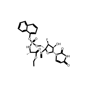 C=N[C@]1(COP(=O)(N[C@@H](C)C(=O)OCC)Oc2cccc3ccccc23)O[C@@H](n2ccc(=O)[nH]c2=O)[C@H](O)[C@@H]1F